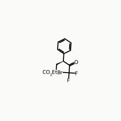 CCOC(=O)C[C@H](C(=O)C(F)(F)Br)c1ccccc1